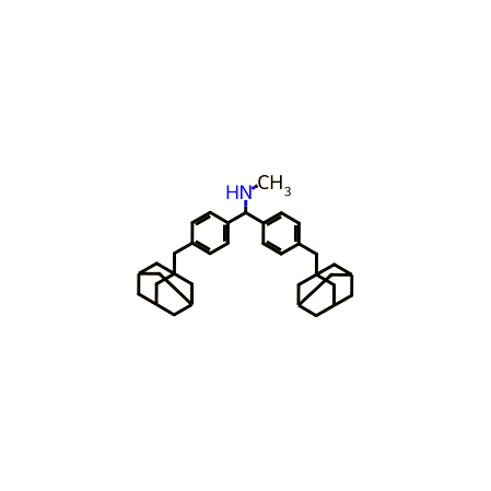 CNC(c1ccc(CC23CC4CC(CC(C4)C2)C3)cc1)c1ccc(CC23CC4CC(CC(C4)C2)C3)cc1